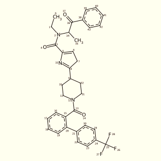 CCN(C(=O)C1=CCC(C2CCN(C(=O)c3ccccc3-c3ccc(C(F)(F)F)cc3)CC2)=N1)C(C)C(=O)c1ccccc1